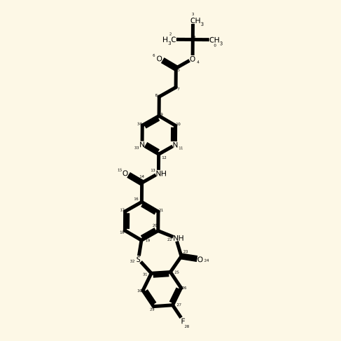 CC(C)(C)OC(=O)CCc1cnc(NC(=O)c2ccc3c(c2)NC(=O)c2cc(F)ccc2S3)nc1